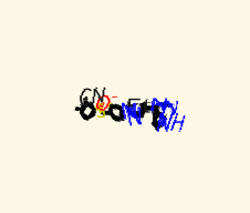 CCN(/N=C\C(C)c1ncnc2[nH]ccc12)C1CCC(C[S+]([O-])C2=CC=CC(C)=C(C#N)C2)CC1